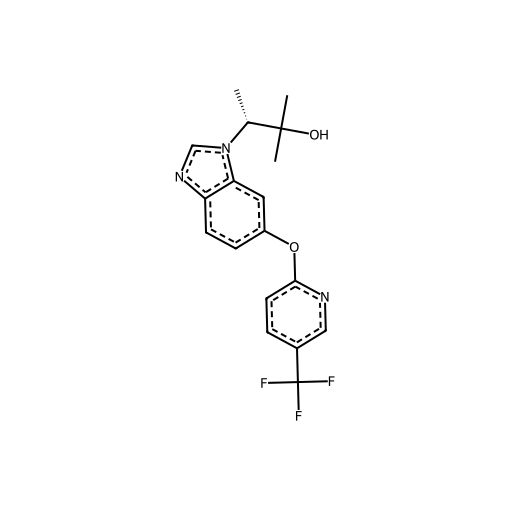 C[C@@H](n1cnc2ccc(Oc3ccc(C(F)(F)F)cn3)cc21)C(C)(C)O